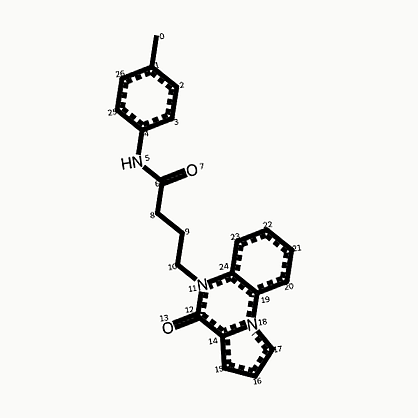 Cc1ccc(NC(=O)CCCn2c(=O)c3cccn3c3ccccc32)cc1